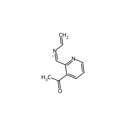 C=C/N=C\c1ncccc1C(C)=O